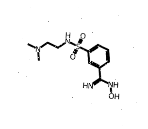 CN(C)CCNS(=O)(=O)c1cccc(C(=N)NO)c1